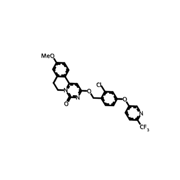 COc1ccc2c(c1)CCn1c-2cc(OCc2ccc(Oc3ccc(C(F)(F)F)nc3)cc2Cl)nc1=O